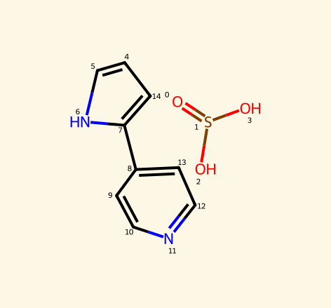 O=S(O)O.c1c[nH]c(-c2ccncc2)c1